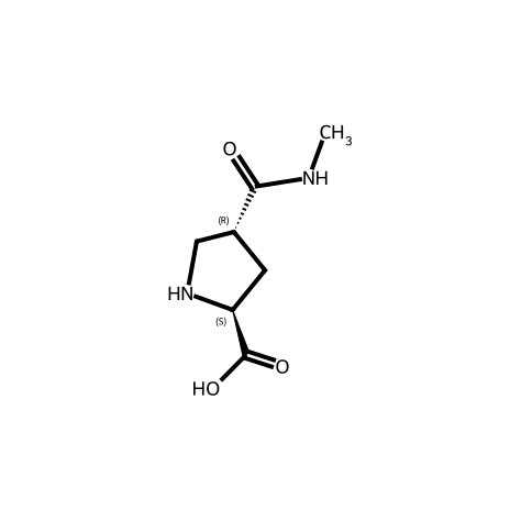 CNC(=O)[C@H]1CN[C@H](C(=O)O)C1